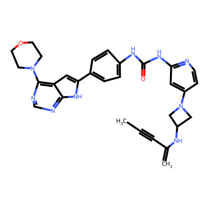 C=C(C#CC)NC1CN(c2ccnc(NC(=O)Nc3ccc(-c4cc5c(N6CCOCC6)ncnc5[nH]4)cc3)c2)C1